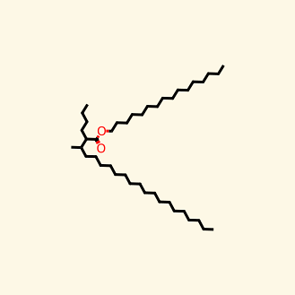 CCCCCCCCCCCCCCCCCCC(C)C(CCCC)C(=O)OCCCCCCCCCCCCCCCC